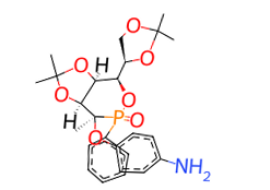 CC1(C)OC[C@H]([C@H]2OP(=O)(c3ccccc3)[C@@](C)(Oc3ccc(N)cc3)[C@H]3OC(C)(C)O[C@@H]23)O1